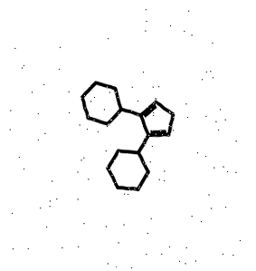 [C]1=C(C2CCCCC2)C(C2CCCCC2)=CC1